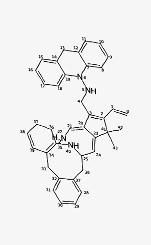 C=CC1=C(CNN2c3ccccc3Cc3ccccc32)C(=C/N)/C(=C\C2Cc3ccccc3CC3=C(CCC=C3)N2)C1(C)C